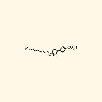 CC(C)CCCCCCCCOc1ccc(-c2ccc(C(=O)O)cc2)cn1